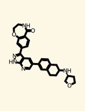 O=C1NCCOc2cc(-c3n[nH]c4ncc(-c5ccc6c(c5)CCC(N[C@H]5CCOC5)C6)cc34)ccc21